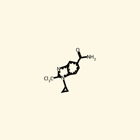 NC(=O)c1ccc2c(c1)nc(C(Cl)(Cl)Cl)n2C1CC1